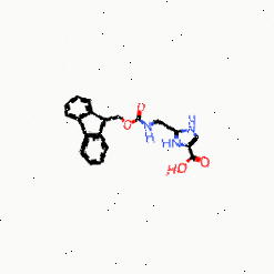 O=C(NCC1NC=C(C(=O)O)N1)OCC1c2ccccc2-c2ccccc21